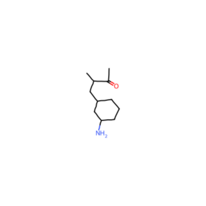 CC(=O)C(C)CC1CCCC(N)C1